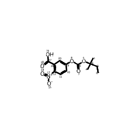 CCC(C)(C)OC(=O)Oc1ccc([N+](=O)[O-])c(C(=O)O)c1